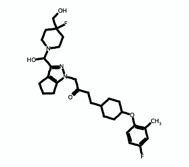 Cc1cc(F)ccc1OC1CCC(CCC(=O)Cn2nc(C(O)N3CCC(F)(CO)CC3)c3c2CCC3)CC1